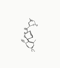 Cc1cc(C(F)(F)F)cc(O)c1-c1ccc(NC2CC(F)CN(C)C2)nn1